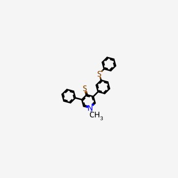 Cn1cc(-c2ccccc2)c(=S)c(-c2cccc(Sc3ccccc3)c2)c1